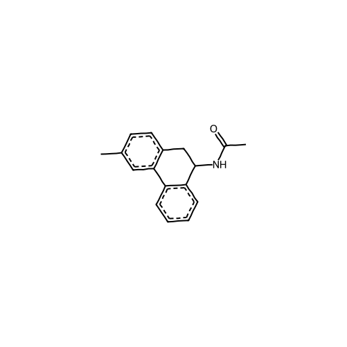 CC(=O)NC1Cc2ccc(C)cc2-c2ccccc21